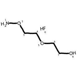 F.NOCCOCCO